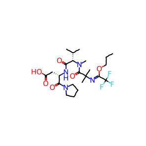 CCCO/C(=N\C(C)(C)C(=O)N(C)[C@H](C(=O)N[C@@H](CC(=O)O)C(=O)N1CCCC1)C(C)C)C(F)(F)F